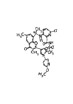 COc1ccc(-n2cc(-c3oc4c([C@@H](C)Nc5ccc(Cl)nc5C(=O)NS(C)(=O)=O)cc(C)cc4c(=O)c3C)cn2)cn1